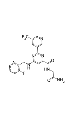 NC(=O)CNC(=O)c1cc(NCc2ncccc2F)nc(-c2cncc(C(F)(F)F)c2)n1